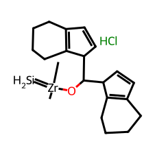 Cl.[CH3][Zr]([CH3])(=[SiH2])[O]C(C1C=CC2=C1CCCC2)C1C=CC2=C1CCCC2